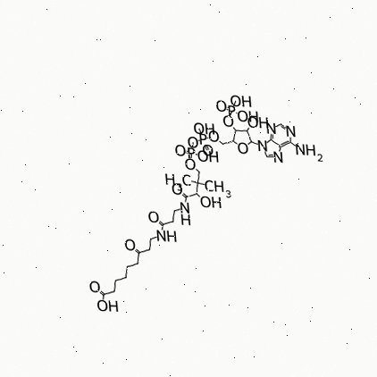 CC(C)(COP(=O)(O)OP(=O)(O)OCC1OC(n2cnc3c(N)ncnc32)C(O)C1OP(=O)(O)O)C(O)C(=O)NCCC(=O)NCCC(=O)CCCCCC(=O)O